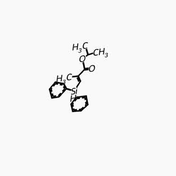 CC(=C[SiH](c1ccccc1)c1ccccc1)C(=O)OC(C)C